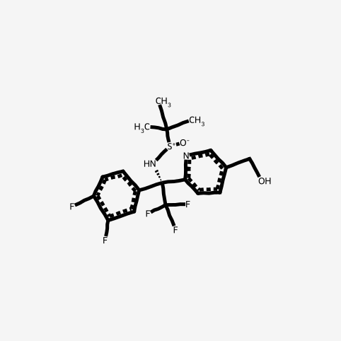 CC(C)(C)[S+]([O-])N[C@](c1ccc(F)c(F)c1)(c1ccc(CO)cn1)C(F)(F)F